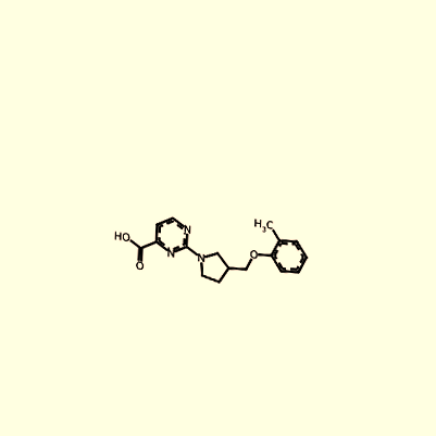 Cc1ccccc1OCC1CCN(c2nccc(C(=O)O)n2)C1